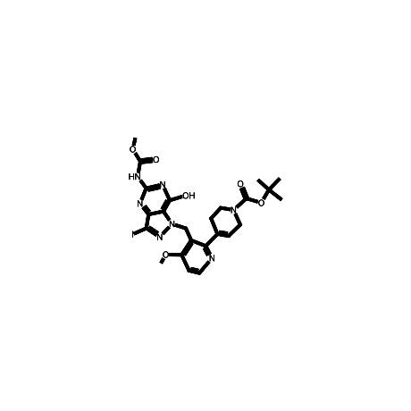 COC(=O)Nc1nc(O)c2c(n1)c(I)nn2Cc1c(OC)ccnc1C1=CCN(C(=O)OC(C)(C)C)CC1